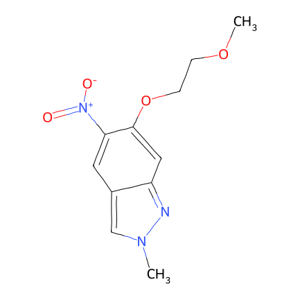 COCCOc1cc2nn(C)cc2cc1[N+](=O)[O-]